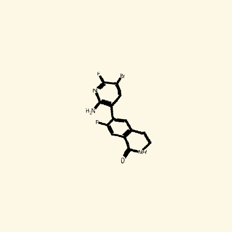 Nc1nc(F)c(Br)cc1-c1cc2c(cc1F)C(=O)NCC2